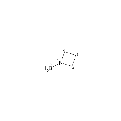 BN1CCC1